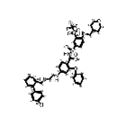 O=C(NS(=O)(=O)c1ccc(NCC2CCOCC2)c(S(=O)(=O)C(F)(F)F)c1)c1ccc(NCCNCc2ccccc2-c2ccc(Cl)cc2)cc1Oc1ccccc1